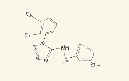 COc1cccc([C@H](C)Nc2nnnn2-c2cccc(Cl)c2Cl)c1